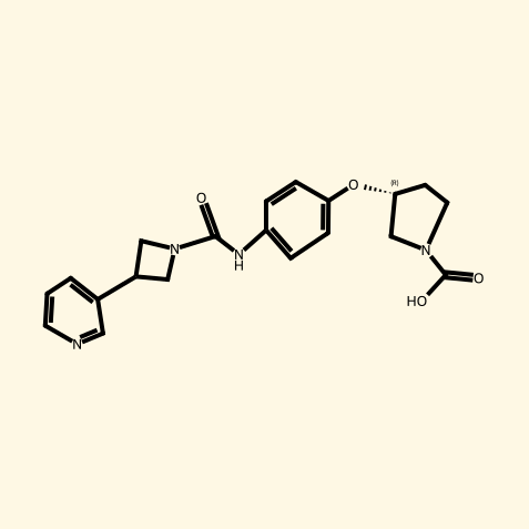 O=C(O)N1CC[C@@H](Oc2ccc(NC(=O)N3CC(c4cccnc4)C3)cc2)C1